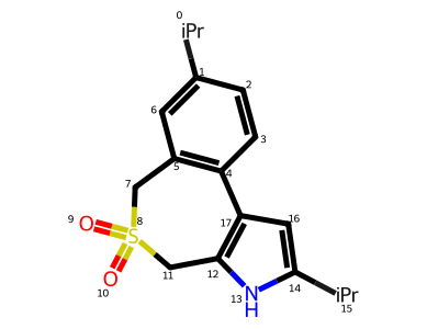 CC(C)c1ccc2c(c1)CS(=O)(=O)Cc1[nH]c(C(C)C)cc1-2